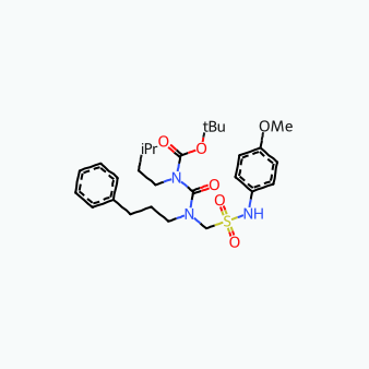 COc1ccc(NS(=O)(=O)CN(CCCc2ccccc2)C(=O)N(CCC(C)C)C(=O)OC(C)(C)C)cc1